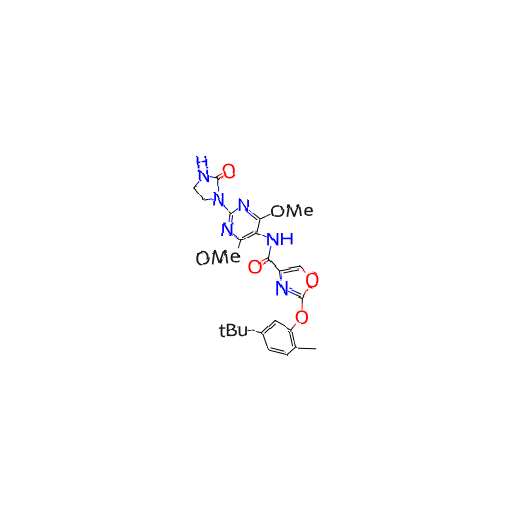 COc1nc(N2CCNC2=O)nc(OC)c1NC(=O)c1coc(Oc2cc(C(C)(C)C)ccc2C)n1